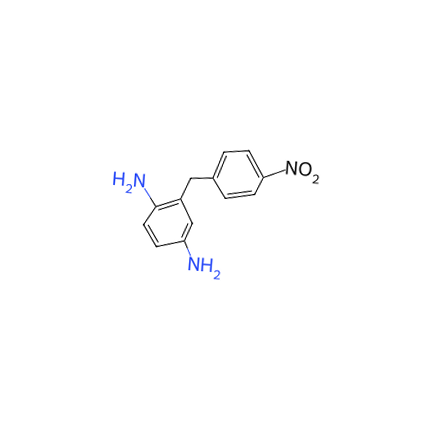 Nc1ccc(N)c(Cc2ccc([N+](=O)[O-])cc2)c1